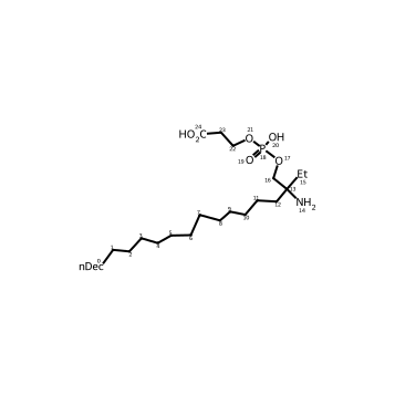 CCCCCCCCCCCCCCCCCCCCCCC(N)(CC)COP(=O)(O)OCCC(=O)O